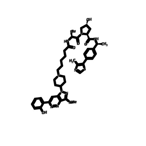 CNc1nn(C2CCN(CCCCCC(=O)N[C@H](C(=O)N3C[C@H](O)C[C@H]3C(=O)N[C@@H](C)c3ccc(-c4scnc4C)cc3)C(C)(C)C)CC2)c2cc(-c3ccccc3O)nnc12